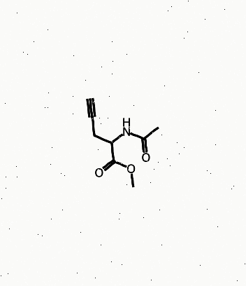 C#CCC(NC(C)=O)C(=O)OC